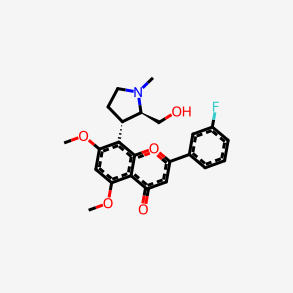 COc1cc(OC)c2c(=O)cc(-c3cccc(F)c3)oc2c1[C@@H]1CCN(C)[C@H]1CO